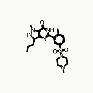 CCCC1NN(C)c2c1nc(-c1cc(S(=O)(=O)N3CCN(C)CC3)ccc1C)[nH]c2=O